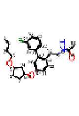 CCCCO[C@@H]1CC[C@H](Oc2ccc(CCNC(C)=O)c(-c3cccc(F)c3)c2)C1